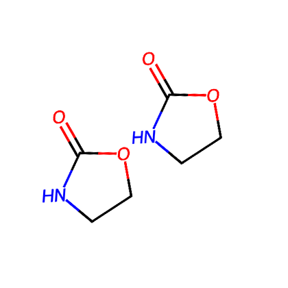 O=C1NCCO1.O=C1NCCO1